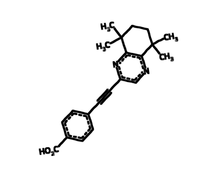 CC1(C)CCC(C)(C)c2nc(C#Cc3ccc(C(=O)O)cc3)cnc21